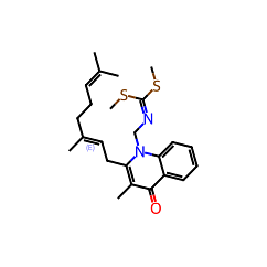 CSC(=NCn1c(C/C=C(\C)CCC=C(C)C)c(C)c(=O)c2ccccc21)SC